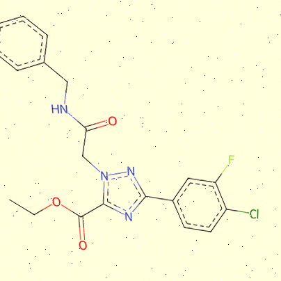 CCOC(=O)c1nc(-c2ccc(Cl)c(F)c2)nn1CC(=O)NCc1ccccc1